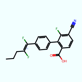 CCC/C(F)=C(\F)c1ccc(-c2c(C(=O)O)ccc(C#N)c2F)cc1